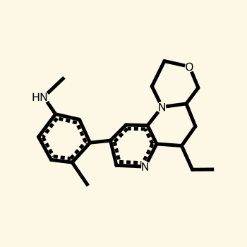 CCC1CC2COCCN2c2cc(-c3cc(NC)ccc3C)cnc21